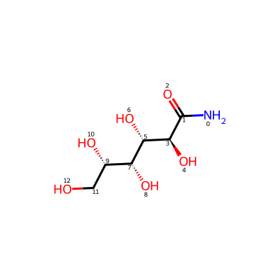 NC(=O)[C@@H](O)[C@@H](O)[C@H](O)[C@@H](O)CO